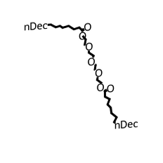 CCCCCCCCCCCCCCCCCC(=O)OCCOCCOCCOCCOC(=O)CCCCCCCCCCCCCCCCC